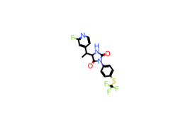 CC(c1ccnc(F)c1)C1NC(=O)N(c2ccc(SC(F)(F)F)cc2)C1=O